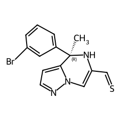 C[C@]1(c2cccc(Br)c2)NC(C=S)=Cn2nccc21